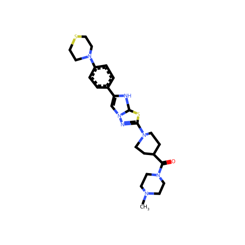 CN1CCN(C(=O)C2CCN(C3=NN4C=C(c5ccc(N6CCSCC6)cc5)NC4S3)CC2)CC1